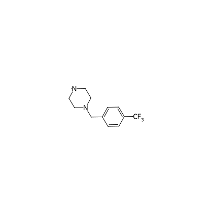 FC(F)(F)c1ccc(CN2CC[N]CC2)cc1